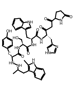 Cc1[nH]c2ccccc2c1CC(C)NN[C@@H](Cc1ccc(O)cc1)C(=O)N[C@@H](CO)C(=O)N[C@@H](Cc1c[nH]c2ccccc12)C(=O)N[C@@H](Cc1c[nH]cn1)C(=O)CC(=O)C1CCC(=O)N1